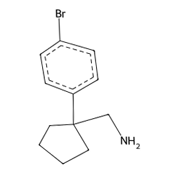 NCC1(c2ccc(Br)cc2)CCCC1